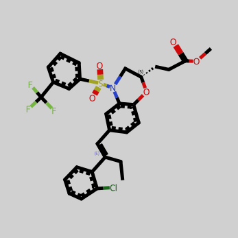 CC/C(=C\c1ccc2c(c1)N(S(=O)(=O)c1cccc(C(F)(F)F)c1)C[C@H](CCC(=O)OC)O2)c1ccccc1Cl